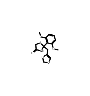 COc1cccc(OC)c1C1(CC2=COCO2)NC(=O)CS1